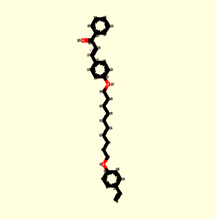 C=Cc1ccc(OCCCCCCCCCCOc2ccc(/C=C/C(=O)c3ccccc3)cc2)cc1